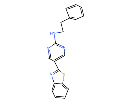 [c]1nc(NCCc2ccccc2)ncc1-c1nc2ccccc2s1